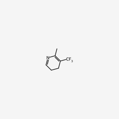 CC1=C(C(F)(F)F)CCC=N1